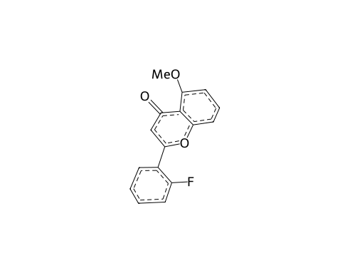 COc1cccc2oc(-c3ccccc3F)cc(=O)c12